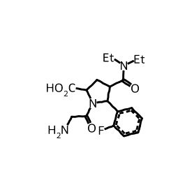 CCN(CC)C(=O)C1CC(C(=O)O)N(C(=O)CN)C1c1ccccc1F